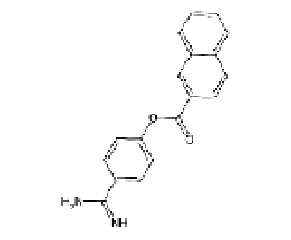 N=C(N)c1ccc(OC(=O)c2ccc3ccccc3c2)cc1